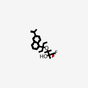 C=C(C)c1ccc2c(C(CC)(CC)OC(C)(C)C(C)(O)C(F)(F)F)cccc2c1